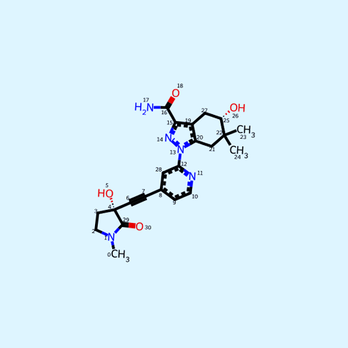 CN1CC[C@@](O)(C#Cc2ccnc(-n3nc(C(N)=O)c4c3CC(C)(C)[C@@H](O)C4)c2)C1=O